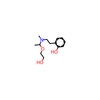 CC(OCCO)N(C)CCc1ccccc1O